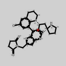 O=C1CCC(=O)N1Cc1cc2nccc(-c3cc(Cl)cc4c3N([C@H]3CC[C@]5(CCCN5)C3)CCC4)c2s1